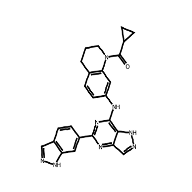 O=C(C1CC1)N1CCCc2ccc(Nc3nc(-c4ccc5cn[nH]c5c4)nc4cn[nH]c34)cc21